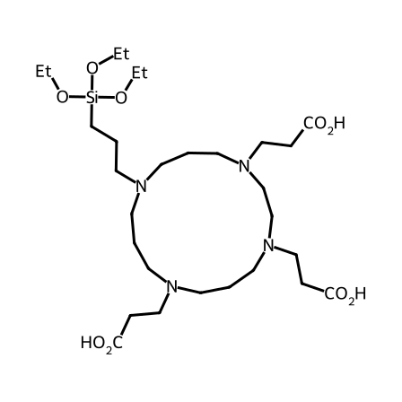 CCO[Si](CCCN1CCCN(CCC(=O)O)CCCN(CCC(=O)O)CCN(CCC(=O)O)CCC1)(OCC)OCC